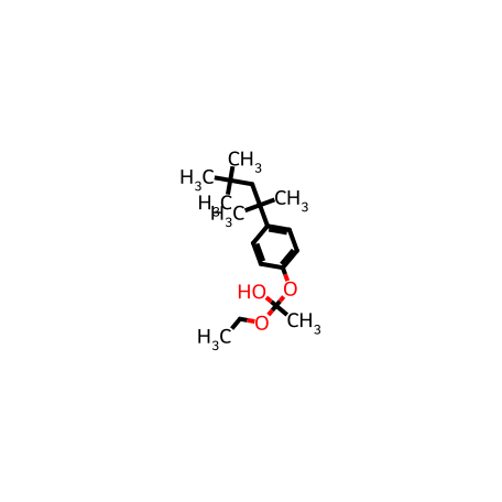 CCOC(C)(O)Oc1ccc(C(C)(C)CC(C)(C)C)cc1